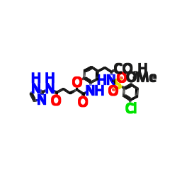 COc1ccc(Cl)cc1S(=O)(=O)N[C@@H](Cc1ccc2c(c1)NC(=O)[C@@H](CCC(=O)Nc1ncc[nH]1)O2)C(=O)O